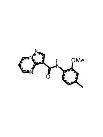 COc1cc(C)ccc1NC(=O)c1cnn2cccnc12